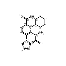 CCC(=O)N(N)c1c(-n2cnnc2)ccc(C(N)=O)c1C1CCCCC1